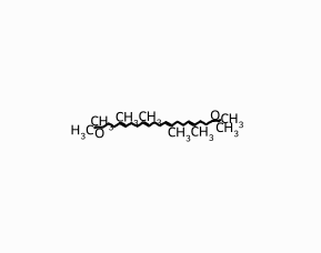 C/C(=C\CC/C=C(\C)CC/C=C(\C)CCC1OC1(C)C)CC/C=C(\C)CCC1OC1(C)C